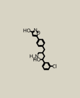 NCC(Cc1ccc(-c2cc(O)no2)cc1)CC(O)c1cccc(Cl)c1